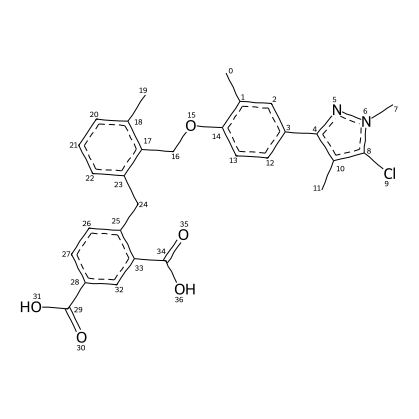 Cc1cc(-c2nn(C)c(Cl)c2C)ccc1OCc1c(C)cccc1Cc1ccc(C(=O)O)cc1C(=O)O